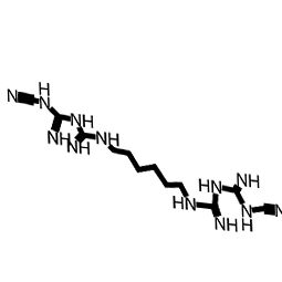 N#CNC(=N)NC(=N)NCCCCCCNC(=N)NC(=N)NC#N